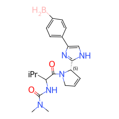 Bc1ccc(-c2c[nH]c([C@@H]3C=CCN3C(=O)C(NC(=O)N(C)C)C(C)C)n2)cc1